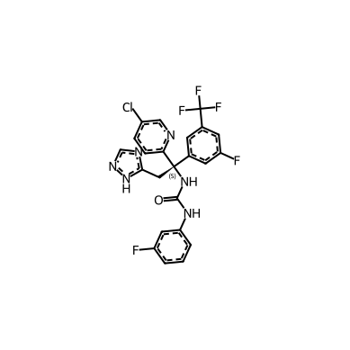 O=C(Nc1cccc(F)c1)N[C@@](Cc1ncn[nH]1)(c1cc(F)cc(C(F)(F)F)c1)c1ccc(Cl)cn1